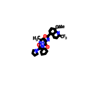 COc1ccc(-c2nc(C(=O)NC3(C(=O)N4CCCC4)CCCCC3)c([C@H](C)N)o2)c2ccc(C(F)(F)F)nc12